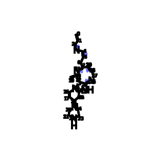 C=C/C=N\C=C/CC1=N/C(=C)S/C(NC2=NC=CC(N3CCNCC3)C2)=N\C/C=C\1